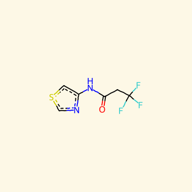 O=C(CC(F)(F)F)Nc1cscn1